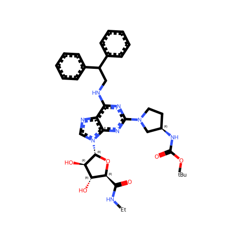 CCNC(=O)[C@@H]1O[C@@H](n2cnc3c(NCC(c4ccccc4)c4ccccc4)nc(N4CC[C@@H](NC(=O)OC(C)(C)C)C4)nc32)[C@H](O)[C@H]1O